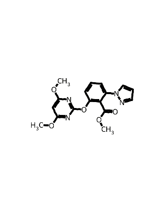 COC(=O)c1c(Oc2nc(OC)cc(OC)n2)cccc1-n1cccn1